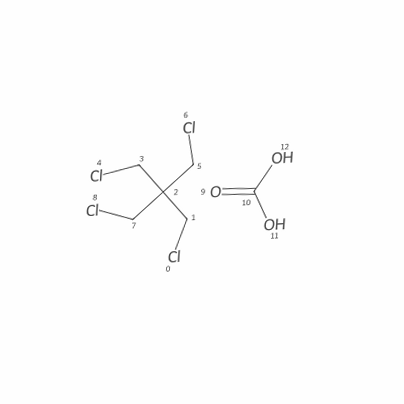 ClCC(CCl)(CCl)CCl.O=C(O)O